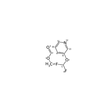 COC=O.FC(F)Oc1cccnc1